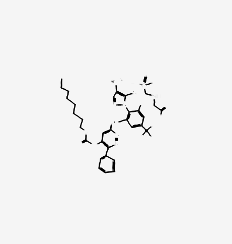 CCCCCCCCSC(=O)Oc1cc(Cl)nnc1-c1ccccc1.Nc1c([N+](=O)[O-])cnn1-c1c(Cl)cc(C(F)(F)F)cc1Cl.O=C(O)CNCP(=O)(O)O